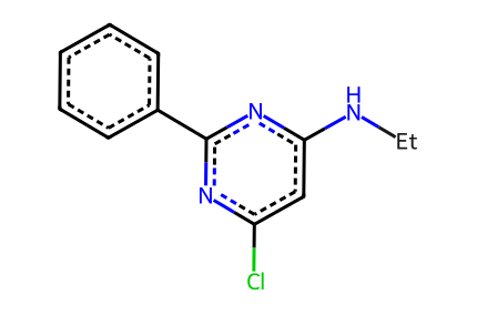 CCNc1cc(Cl)nc(-c2ccccc2)n1